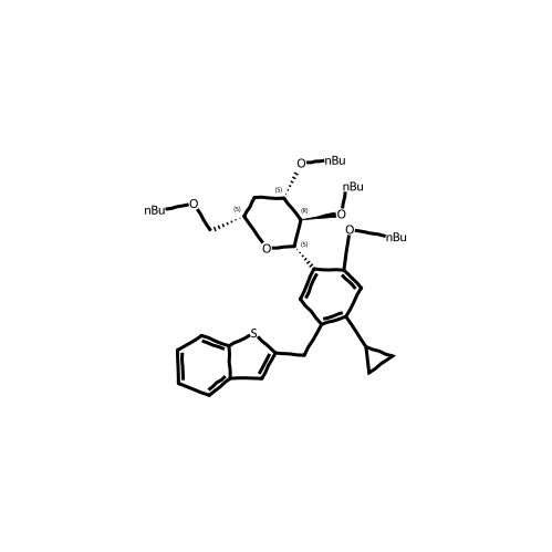 CCCCOC[C@@H]1C[C@H](OCCCC)[C@@H](OCCCC)[C@H](c2cc(Cc3cc4ccccc4s3)c(C3CC3)cc2OCCCC)O1